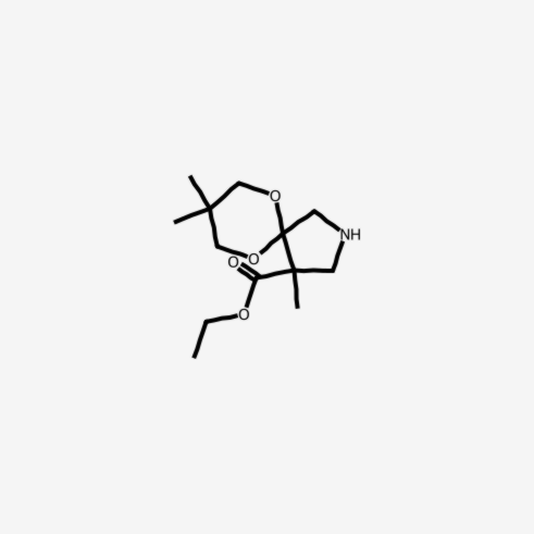 CCOC(=O)C1(C)CNCC12OCC(C)(C)CO2